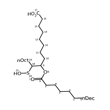 CCCCCCCCCCCCCCCC(=O)OC(CCCCCCCC(=O)O)C(CCCCCCCC)SO